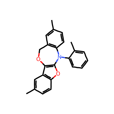 Cc1ccc2c(c1)COc1c(oc3ccc(C)cc13)N2c1ccccc1C